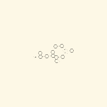 N#Cc1ccc(-c2ccc(-c3cc4c5cccnc5c(-c5cccc(-c6nc(-c7ccccc7)nc(-c7cccc(-c8ccccc8)c7)n6)c5)cc4c4ccccc34)cc2)c2ccccc12